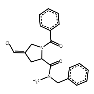 CN(Cc1ccccc1)C(=O)C1CC(=CCl)CN1C(=O)c1ccccc1